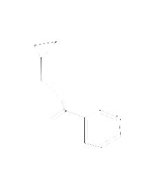 O=C(OCC1CC1)c1cccnc1